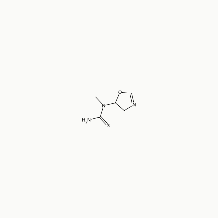 CN(C(N)=S)C1CN=CO1